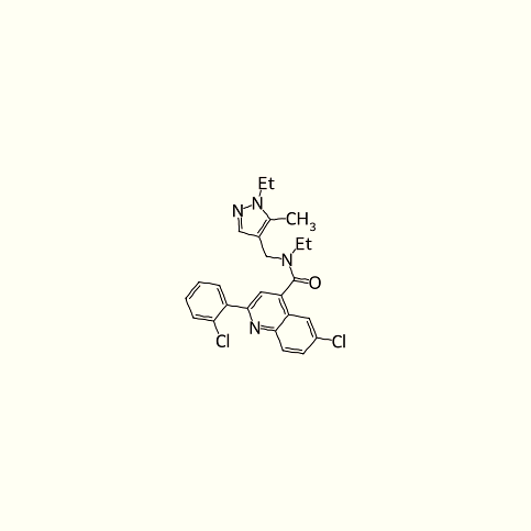 CCN(Cc1cnn(CC)c1C)C(=O)c1cc(-c2ccccc2Cl)nc2ccc(Cl)cc12